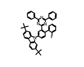 CC(C)(C)c1ccc2c3ccc(C(C)(C)C)cc3n(-c3ccc(-c4ccccc4F)c(-c4nc(-c5ccccc5)nc(-c5ccccc5)n4)c3)c2c1